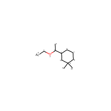 CC(=O)COC(C)C1CCCC(C)(C)C1